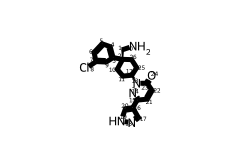 NC[C@]1(c2cccc(Cl)c2)CC[C@H](n2nc(-c3cn[nH]c3)ccc2=O)CC1